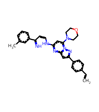 C=Cc1ccc(-c2cc3nc(N/C=C\C(=N)c4cccc(C)c4)cc(N4CCOCC4)n3n2)cc1